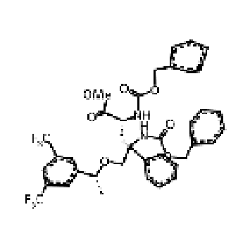 COC(=O)[C@@H](C[C@](CO[C@H](C)c1cc(C(F)(F)F)cc(C(F)(F)F)c1)(NC(=O)OCc1ccccc1)c1ccccc1)NC(=O)OCc1ccccc1